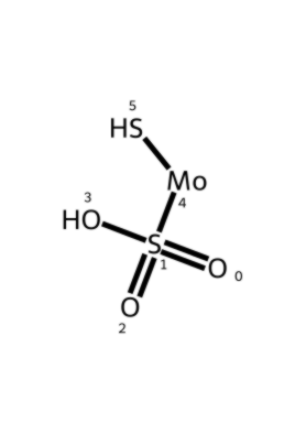 O=[S](=O)(O)[Mo][SH]